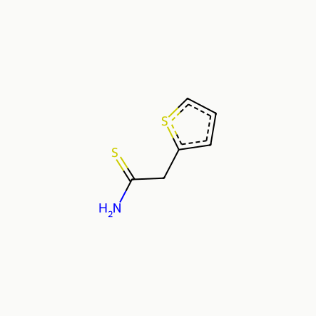 NC(=S)Cc1cccs1